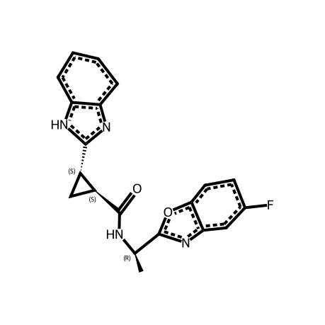 C[C@@H](NC(=O)[C@H]1C[C@@H]1c1nc2ccccc2[nH]1)c1nc2cc(F)ccc2o1